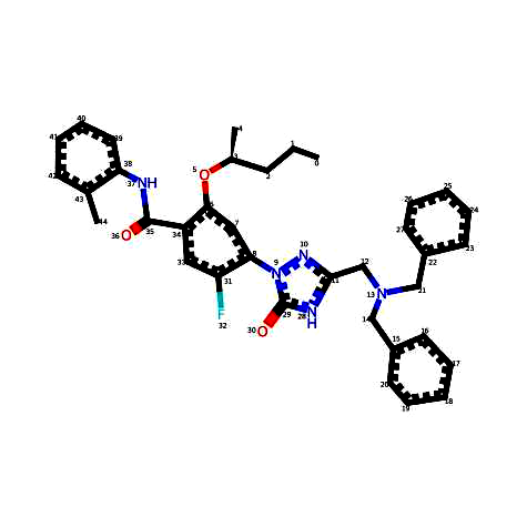 CCC[C@H](C)Oc1cc(-n2nc(CN(Cc3ccccc3)Cc3ccccc3)[nH]c2=O)c(F)cc1C(=O)Nc1ccccc1C